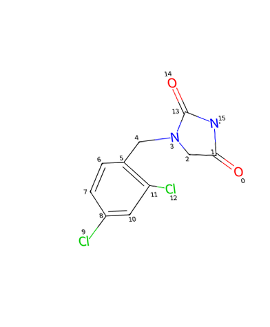 O=C1CN(Cc2ccc(Cl)cc2Cl)C(=O)[N]1